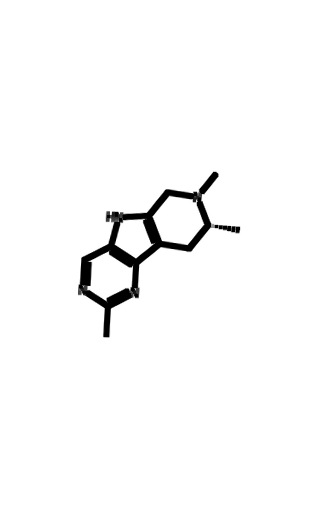 Cc1ncc2[nH]c3c(c2n1)C[C@@H](C)N(C)C3